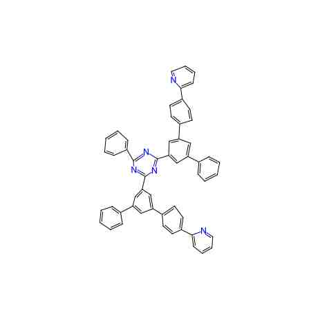 c1ccc(-c2cc(-c3ccc(-c4ccccn4)cc3)cc(-c3nc(-c4ccccc4)nc(-c4cc(-c5ccccc5)cc(-c5ccc(-c6ccccn6)cc5)c4)n3)c2)cc1